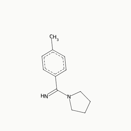 Cc1ccc(C(=N)N2CCCC2)cc1